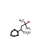 CCOC(=O)C(CC(C)(C)Br)c1ccccc1